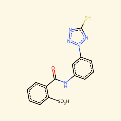 O=C(Nc1cccc(-n2nnc(S)n2)c1)c1ccccc1S(=O)(=O)O